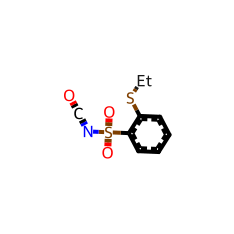 CCSc1ccccc1S(=O)(=O)N=C=O